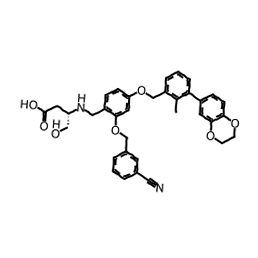 Cc1c(COc2ccc(CN[C@H](CO)CC(=O)O)c(OCc3cccc(C#N)c3)c2)cccc1-c1ccc2c(c1)OCCO2